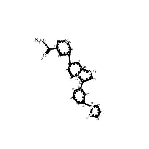 NC(=O)c1cncc(-c2ccn3c(-c4cccc(-n5cccn5)c4)cnc3c2)c1